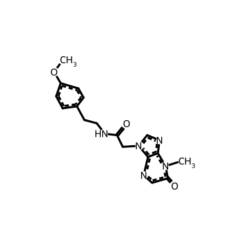 COc1ccc(CCNC(=O)Cn2cnc3c2ncc(=O)n3C)cc1